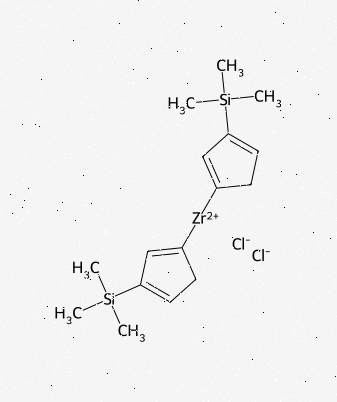 C[Si](C)(C)C1=CC[C]([Zr+2][C]2=CC([Si](C)(C)C)=CC2)=C1.[Cl-].[Cl-]